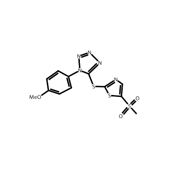 COc1ccc(-n2nnnc2Sc2ncc(S(C)(=O)=O)s2)cc1